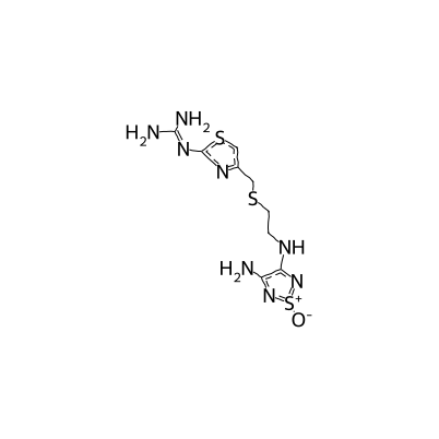 NC(N)=Nc1nc(CSCCNc2n[s+]([O-])nc2N)cs1